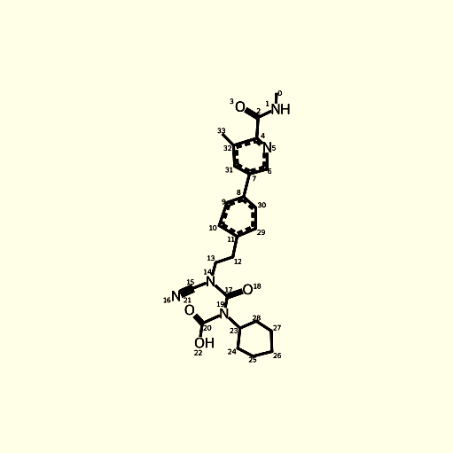 CNC(=O)c1ncc(-c2ccc(CCN(C#N)C(=O)N(C(=O)O)C3CCCCC3)cc2)cc1C